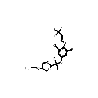 CCCC1COC(C(F)(F)Oc2cc(F)c(O/C=C/C(F)(F)F)c(Cl)c2)OC1